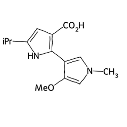 COc1cn(C)cc1-c1[nH]c(C(C)C)cc1C(=O)O